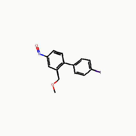 COCc1cc(N=O)ccc1-c1ccc(I)cc1